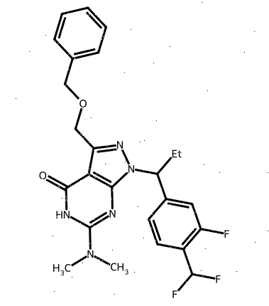 CCC(c1ccc(C(F)F)c(F)c1)n1nc(COCc2ccccc2)c2c(=O)[nH]c(N(C)C)nc21